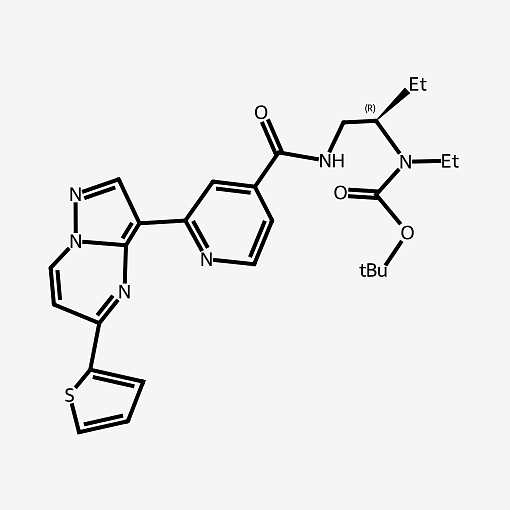 CC[C@H](CNC(=O)c1ccnc(-c2cnn3ccc(-c4cccs4)nc23)c1)N(CC)C(=O)OC(C)(C)C